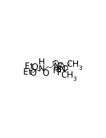 CCOC(CNC(=O)CCC1=[N+]2C(=Cc3c(C)cc(C)n3[B-]2(F)F)C=C1)OCC